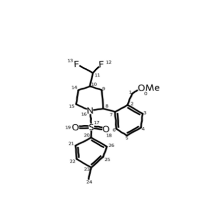 COCc1ccccc1C1CC(C(F)F)CCN1S(=O)(=O)c1ccc(C)cc1